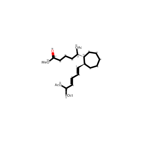 CCCCCCCCC(/C=C/C=C/[C@@H]1CCCCC[C@H]1C(CCCC(=O)OC)OC(C)=O)OC(C)=O